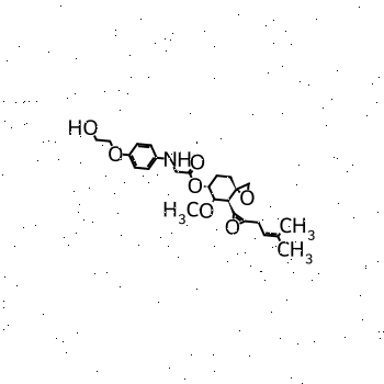 CO[C@@H]1[C@H](OC(=O)CNc2ccc(OCCO)cc2)CC[C@]2(CO2)[C@H]1C1=C(CC=C(C)C)O1